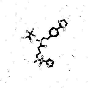 CN(CCc1ccc(C2=NCCN2)cc1)C(=O)CCCN(C)S(=O)(=O)c1cccs1.O=C(O)C(F)(F)F